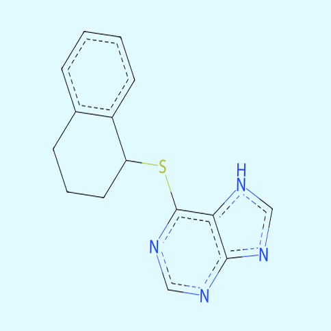 c1ccc2c(c1)CCCC2Sc1ncnc2nc[nH]c12